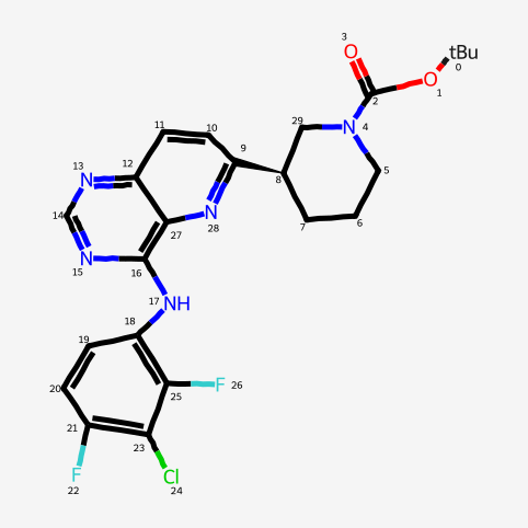 CC(C)(C)OC(=O)N1CCC[C@@H](c2ccc3ncnc(Nc4ccc(F)c(Cl)c4F)c3n2)C1